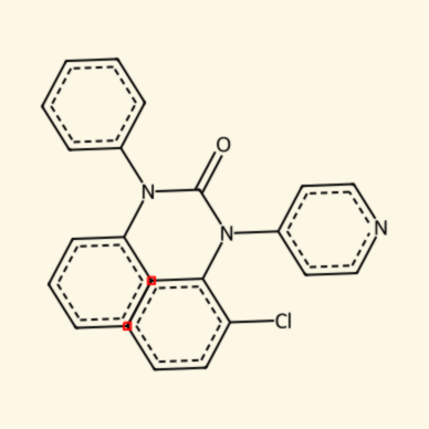 O=C(N(c1ccccc1)c1ccccc1)N(c1ccncc1)c1ccccc1Cl